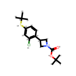 CC(C)(C)OC(=O)N1CC(c2ccc(SC(C)(C)C)cc2Cl)C1